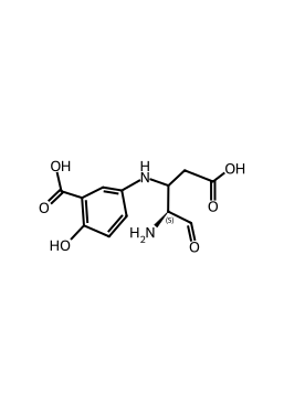 N[C@H](C=O)C(CC(=O)O)Nc1ccc(O)c(C(=O)O)c1